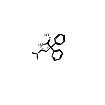 C[C@H](C[C@@](C(N)=O)(c1ccccc1)c1ccccn1)N(C)C.Cl